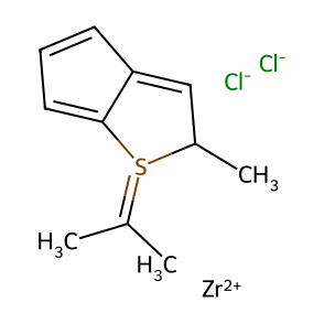 CC(C)=S1C2=CC=CC2=CC1C.[Cl-].[Cl-].[Zr+2]